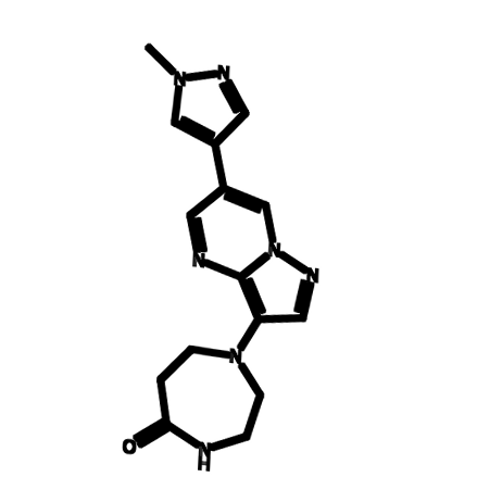 Cn1cc(-c2cnc3c(N4CCNC(=O)CC4)cnn3c2)cn1